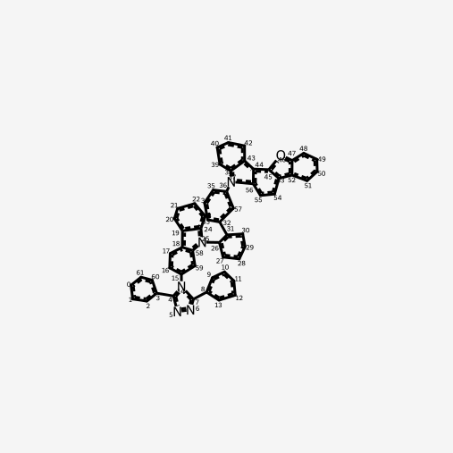 c1ccc(-c2nnc(-c3ccccc3)n2-c2ccc3c4ccccc4n(-c4ccccc4-c4cccc(-n5c6ccccc6c6c7oc8ccccc8c7ccc65)c4)c3c2)cc1